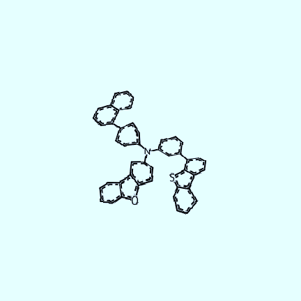 c1cc(-c2cccc3c2sc2ccccc23)cc(N(c2ccc(-c3cccc4ccccc34)cc2)c2ccc3oc4ccccc4c3c2)c1